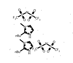 CCCCc1[nH]cc[n+]1C.CCCCc1[nH]cc[n+]1C.O=S(=O)([N-]S(=O)(=O)C(F)(F)F)C(F)(F)F.O=S(=O)([N-]S(=O)(=O)C(F)(F)F)C(F)(F)F